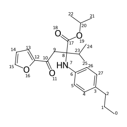 CCCc1ccc(NC(CC(=O)c2ccco2)(C(=O)OC(C)C)C(C)C)cc1